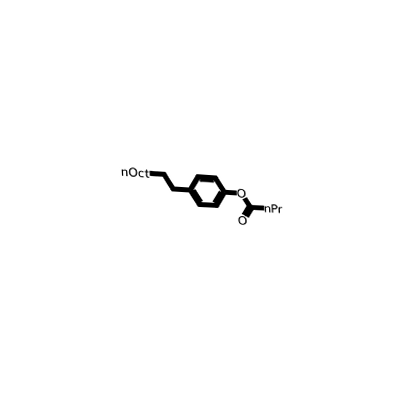 CCCCCCCCCCc1ccc(OC(=O)CCC)cc1